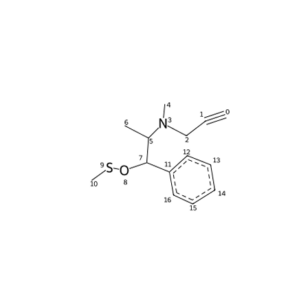 C#CCN(C)C(C)C(OSC)c1ccccc1